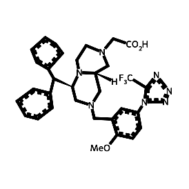 COc1ccc(-n2nnnc2C(F)(F)F)cc1CN1C[C@H]2CN(CC(=O)O)CCN2[C@H](C(c2ccccc2)c2ccccc2)C1